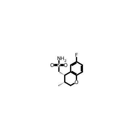 C[C@H]1COc2ccc(F)cc2[C@H]1CS(N)(=O)=O